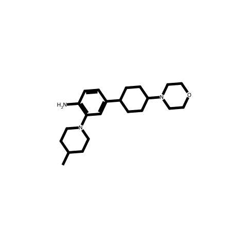 CC1CCN(c2cc(C3CCC(N4CCOCC4)CC3)ccc2N)CC1